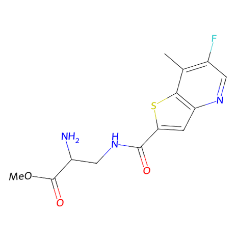 COC(=O)C(N)CNC(=O)c1cc2ncc(F)c(C)c2s1